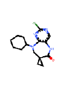 O=C1Nc2cnc(Cl)nc2N(C2CCCCC2)CC12CC2